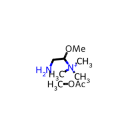 COC(C)=O.COC(CN)[N+](C)(C)C